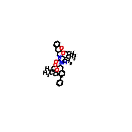 CCOC(=O)C(Cc1ccccc1)CN(CC(C)C)C(=O)N[C@@H](Cc1ccc(-c2ccccc2)cc1)C(=O)OC(C)(C)C